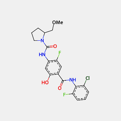 COCC1CCCN1C(=O)Nc1cc(O)c(C(=O)Nc2c(F)cccc2Cl)cc1F